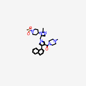 Cc1ncc(Cn2cc(C(=O)N3CCN(C)CC3)c(-c3cccc4ccccc34)c2)n1C1CCN(S(C)(=O)=O)CC1